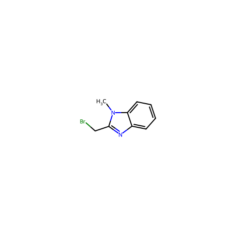 Cn1c(CBr)nc2ccccc21